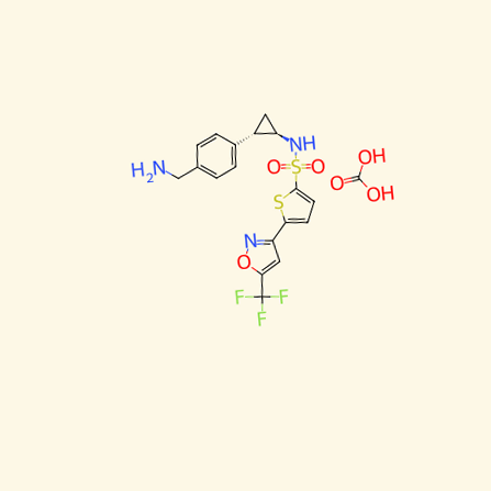 NCc1ccc([C@@H]2C[C@H]2NS(=O)(=O)c2ccc(-c3cc(C(F)(F)F)on3)s2)cc1.O=C(O)O